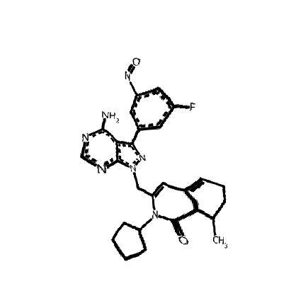 CC1CCC=C2C=C(Cn3nc(-c4cc(F)cc(N=O)c4)c4c(N)ncnc43)N(C3CCCC3)C(=O)C21